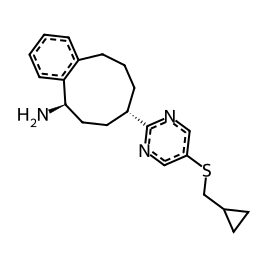 N[C@@H]1CC[C@@H](c2ncc(SCC3CC3)cn2)CCCc2ccccc21